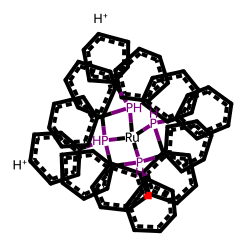 [H+].[H+].c1ccc([PH](c2ccccc2)(c2ccccc2)[Ru]([PH](c2ccccc2)(c2ccccc2)c2ccccc2)([PH](c2ccccc2)(c2ccccc2)c2ccccc2)[PH](c2ccccc2)(c2ccccc2)c2ccccc2)cc1